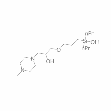 CCC[Si](O)(CCC)CCCOCC(O)CN1CCN(C)CC1